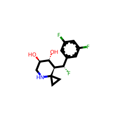 O[C@@H]1[C@@H]([C@@H](F)c2cc(F)cc(F)c2)C2(CC2)NC[C@H]1O